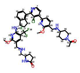 COc1nc(-c2ccnc(-c3cccc4c3CC[C@@H]4Nc3nc(OC)c(CNC[C@H]4CCC(=O)N4)cc3C(F)(F)F)c2Cl)ccc1CNC1CCN(C(C)=O)CC1